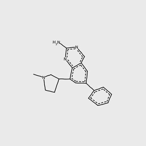 CN1CCC(c2cc(-c3ccccc3)cc3cnc(N)nc23)C1